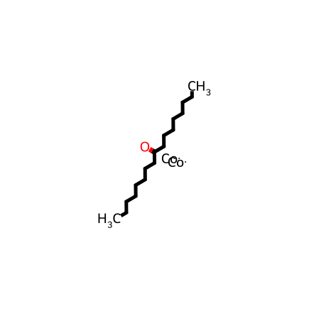 CCCCCCCCC(=O)CCCCCCCC.[Co].[Co]